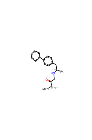 CC[C@H](NC)C(=O)CN[C@@H](Cc1ccc(-c2ccccc2)cc1)C(C)=O